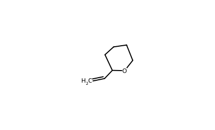 C=CC1CCCCO1